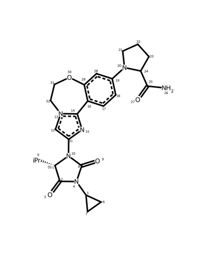 CC(C)[C@H]1C(=O)N(C2CC2)C(=O)N1c1cn2c(n1)-c1ccc(N3CCCC3C(N)=O)cc1OCC2